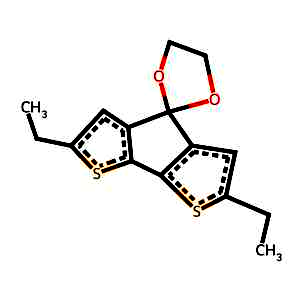 CCc1cc2c(s1)-c1sc(CC)cc1C21OCCO1